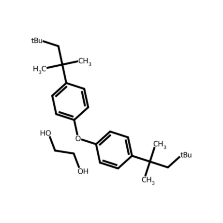 CC(C)(C)CC(C)(C)c1ccc(Oc2ccc(C(C)(C)CC(C)(C)C)cc2)cc1.OCCO